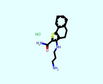 Cl.NCCCNc1c(C(N)=O)sc2c1CCc1ccccc1-2